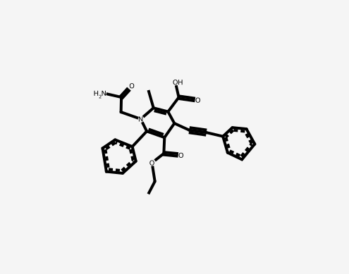 CCOC(=O)C1=C(c2ccccc2)N(CC(N)=O)C(C)=C(C(=O)O)C1C#Cc1ccccc1